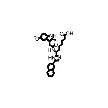 COc1ccc2[nH]c(C)c(CC(=O)NC(CCCCCC(=O)O)c3ncc(-c4ccc5ccccc5c4)[nH]3)c2c1